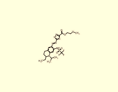 CCC1CCc2cc(N=Nc3nnc(C(=O)OCCOC)s3)c(NS(=O)(=O)C(F)(F)F)cc2N1C(C)C